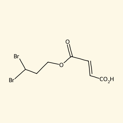 O=C(O)C=CC(=O)OCCC(Br)Br